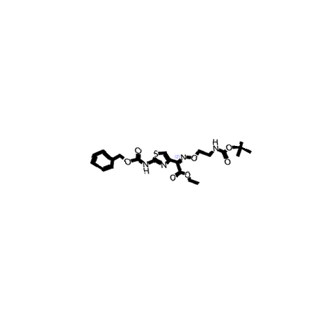 CCOC(=O)/C(=N\OCCNC(=O)OC(C)(C)C)c1csc(NC(=O)OCc2ccccc2)n1